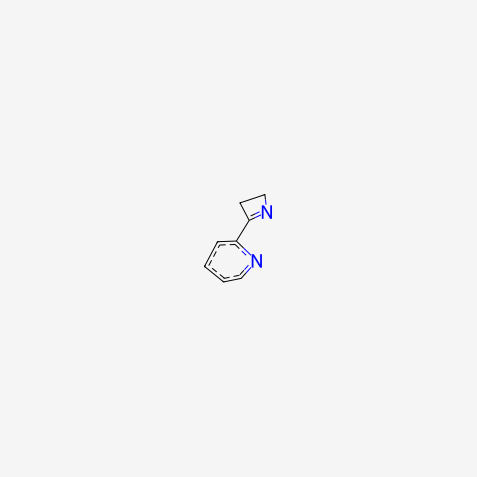 c1ccc(C2=NCC2)nc1